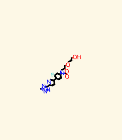 Cn1nnc(-c2ccc(-c3ccc(N4CC(COC[CH]CO)OC4=O)cc3F)cn2)n1